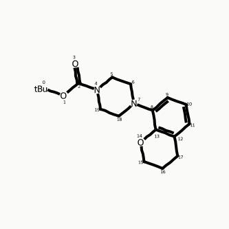 CC(C)(C)OC(=O)N1CCN(c2cccc3c2OCCC3)CC1